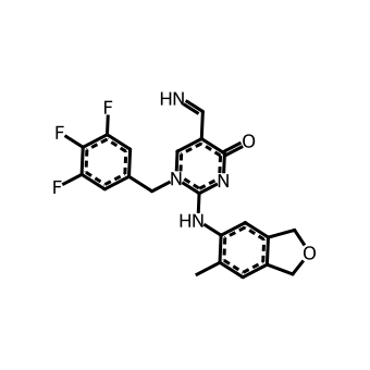 Cc1cc2c(cc1Nc1nc(=O)c(C=N)cn1Cc1cc(F)c(F)c(F)c1)COC2